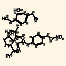 CC(C)C(=O)N1CCC(S)[C@@]1(C(=O)OCc1ccc(CO[N+](=O)[O-])cc1)C(=O)[C@H](C)N.Cl.OCc1ccc(CBr)cc1